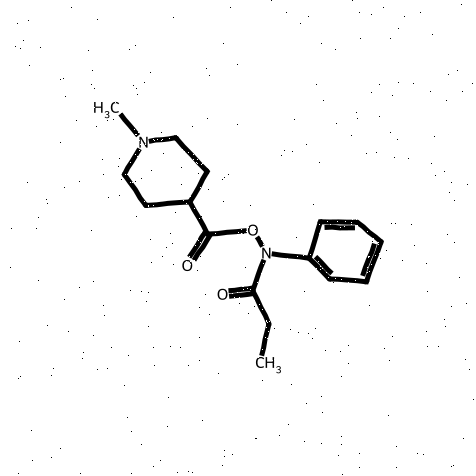 CCC(=O)N(OC(=O)C1CCN(C)CC1)c1ccccc1